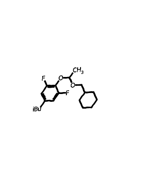 CCC(C)c1cc(F)c(OC(C)OCC2CCCCC2)c(F)c1